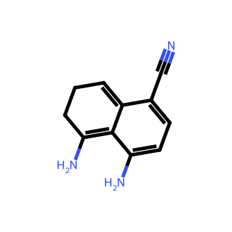 N#Cc1ccc(N)c2c1=CCCC=2N